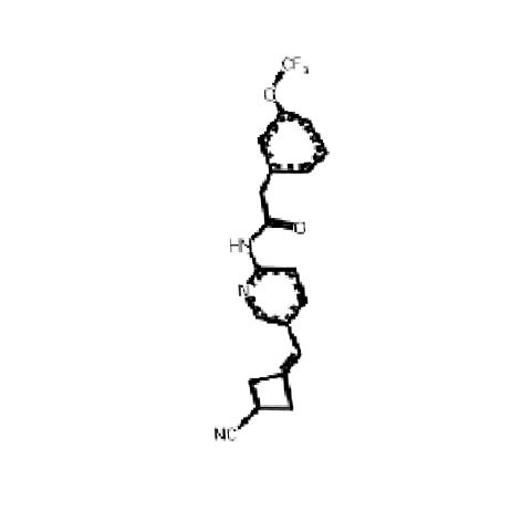 N#CC1CC(=Cc2ccc(NC(=O)Cc3cccc(OC(F)(F)F)c3)nc2)C1